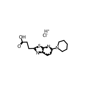 O=C(O)CCc1nc2ccc(N3CCCCC3)nc2s1.[Cl-].[H+]